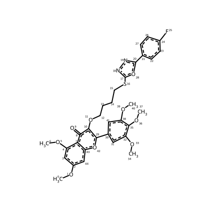 COc1cc(OC)c2c(=O)c(OCCCCSc3nnc(-c4ccc(F)cc4)o3)c(-c3cc(OC)c(OC)c(OC)c3)oc2c1